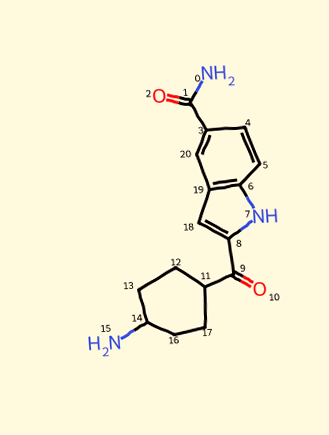 NC(=O)c1ccc2[nH]c(C(=O)C3CCC(N)CC3)cc2c1